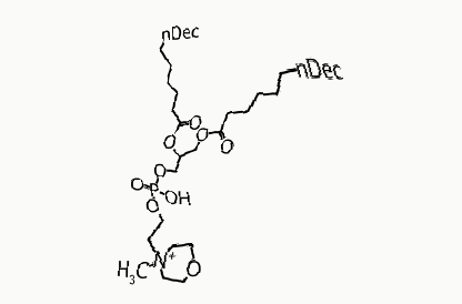 CCCCCCCCCCCCCCCC(=O)OCC(COP(=O)(O)OCC[N+]1(C)CCOCC1)OC(=O)CCCCCCCCCCCCCCC